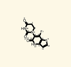 O=C1CCN(c2c(F)c3sccc3[nH]c2=O)C(=O)N1